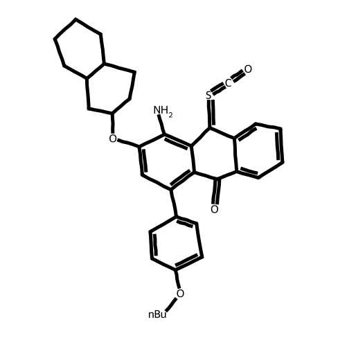 CCCCOc1ccc(-c2cc(OC3CCC4CCCCC4C3)c(N)c3c2C(=O)c2ccccc2C3=S=C=O)cc1